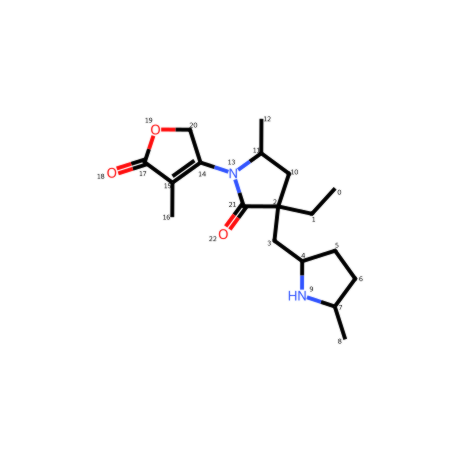 CCC1(CC2CCC(C)N2)CC(C)N(C2=C(C)C(=O)OC2)C1=O